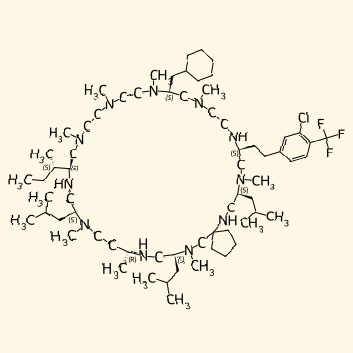 CC[C@H](C)[C@H]1CN(C)CCN(C)CCN(C)[C@@H](CC2CCCCC2)CN(C)CCN[C@@H](CCc2ccc(C(F)(F)F)c(Cl)c2)CN(C)[C@@H](CC(C)C)CNC2(CCCC2)CN(C)[C@@H](CC(C)C)CN[C@H](C)CCN(C)[C@@H](CC(C)C)CN1